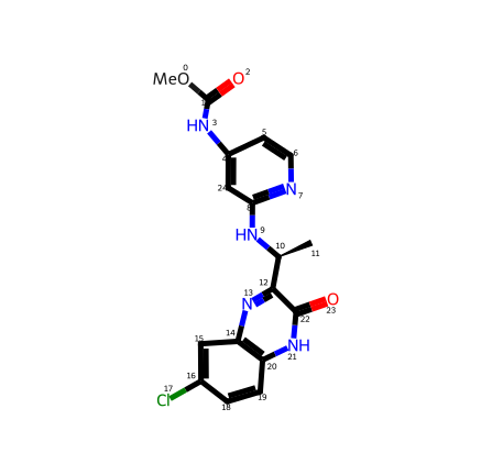 COC(=O)Nc1ccnc(N[C@@H](C)c2nc3cc(Cl)ccc3[nH]c2=O)c1